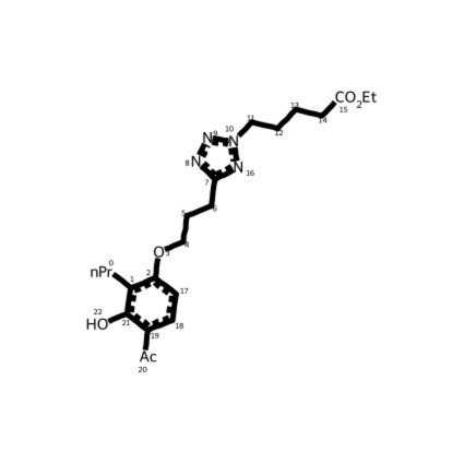 CCCc1c(OCCCc2nnn(CCCCC(=O)OCC)n2)ccc(C(C)=O)c1O